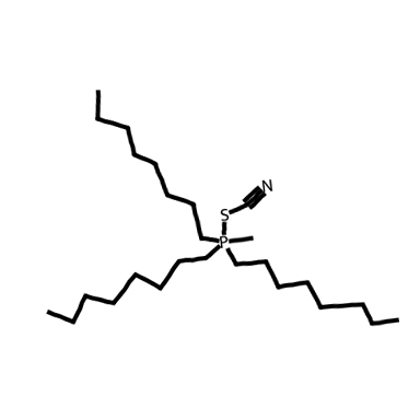 CCCCCCCCP(C)(CCCCCCCC)(CCCCCCCC)SC#N